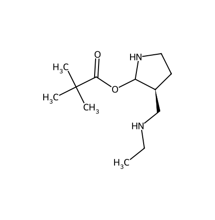 CCNC[C@@H]1CCNC1OC(=O)C(C)(C)C